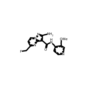 COc1cnccc1NC(=O)c1c(N)nn2ccc(CF)nc12